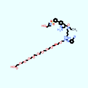 CCCN(CCCCCN/C(=N\c1cccc(C#N)c1)NCCOCCOCCOCCOCCOCCOCCOCCOCCOCCOCCC(=O)O)C(=O)C1=Cc2ccc(-c3cccc(S(=O)(=O)N4CC(CO)C4)c3)cc2N=C(N)C1